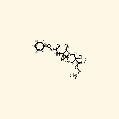 CC1(C(=O)OCC(Cl)(Cl)Cl)CS[C@@H]2C(NC(=O)COc3ccccc3)C(=O)N2C1